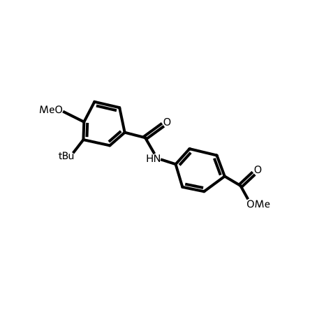 COC(=O)c1ccc(NC(=O)c2ccc(OC)c(C(C)(C)C)c2)cc1